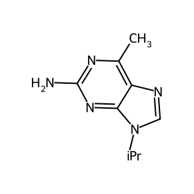 Cc1nc(N)nc2c1ncn2C(C)C